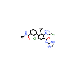 NN(CCCl)c1c(C(=O)N=C2NCCN2)ccc(-c2cccc(C(=O)NC3CC3)c2Cl)c1C1CC1